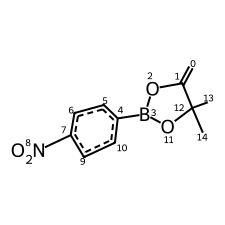 C=C1OB(c2ccc([N+](=O)[O-])cc2)OC1(C)C